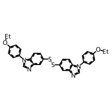 CCOc1ccc(-n2cnc3cc(SSc4ccc5c(c4)ncn5-c4ccc(OCC)cc4)ccc32)cc1